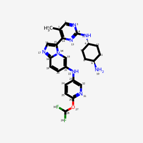 Cc1cnc(N[C@H]2CC[C@H](N)CC2)nc1-c1cnc2ccc(Nc3ccc(OC(F)F)nc3)cn12